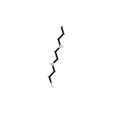 CCCOCCOCCI